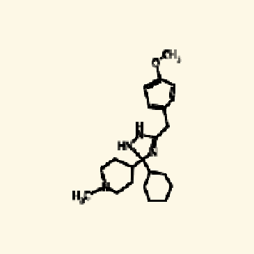 COc1ccc(CC2=NC(C3CCCCC3)(C3CCN(C)CC3)NN2)cc1